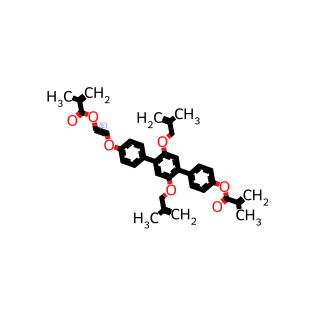 C=C(C)COc1cc(-c2ccc(OC(=O)C(=C)C)cc2)c(OCC(=C)C)cc1-c1ccc(O/C=C/OC(=O)C(=C)C)cc1